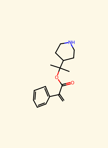 C=C(C(=O)OC(C)(C)C1CCNCC1)c1ccccc1